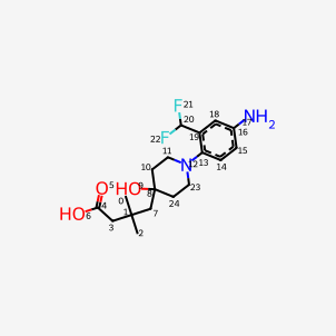 CC(C)(CC(=O)O)CC1(O)CCN(c2ccc(N)cc2C(F)F)CC1